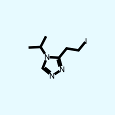 CC(C)n1cnnc1CCI